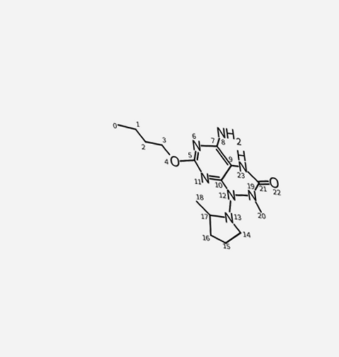 CCCCOc1nc(N)c2c(n1)N(N1CCCC1C)N(C)C(=O)N2